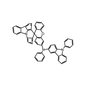 c1ccc(N(c2ccc3c(c2)Oc2ccccc2C32c3ccccc3-n3c4ccccc4c4cccc2c43)c2ccc3c(c2)c2ccccc2n3-c2ccccc2)cc1